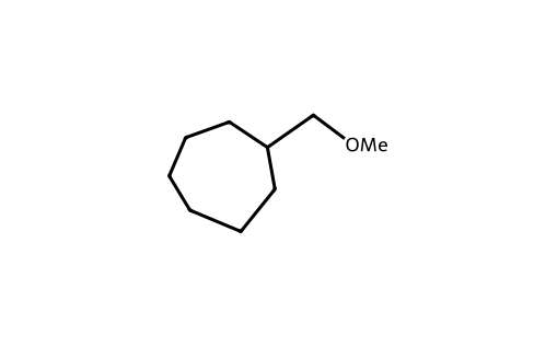 [CH2]OCC1CCCCCC1